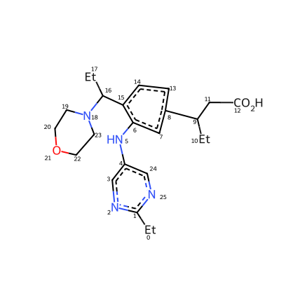 CCc1ncc(Nc2cc(C(CC)CC(=O)O)ccc2C(CC)N2CCOCC2)cn1